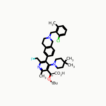 Cc1cccc(Cl)c1CN1CCc2cc(-c3c(CF)nc(C)c([C@H](OC(C)(C)C)C(=O)O)c3N3CCC(C)(C)CC3)ccc2C1